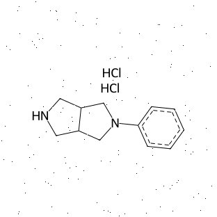 Cl.Cl.c1ccc(N2CC3CNCC3C2)cc1